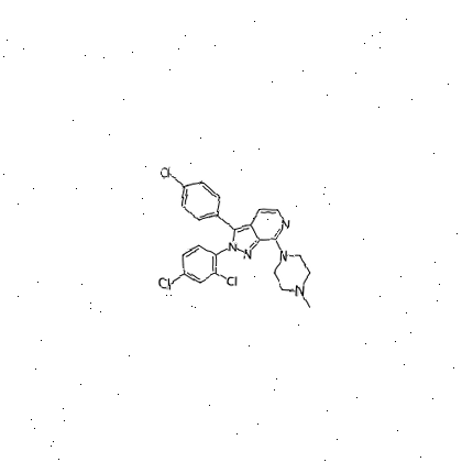 CN1CCN(c2nccc3c(-c4ccc(Cl)cc4)n(-c4ccc(Cl)cc4Cl)nc23)CC1